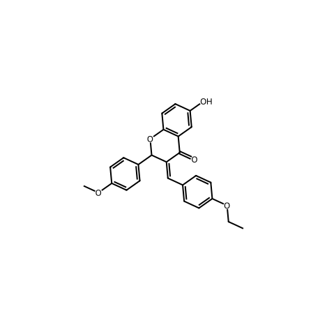 CCOc1ccc(C=C2C(=O)c3cc(O)ccc3OC2c2ccc(OC)cc2)cc1